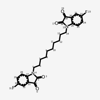 O=C1C(=O)N(CCCCCCCCCCN2C(=O)C(=O)c3cc(F)ccc32)c2ccc(F)cc21